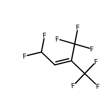 FC(F)C=C(C(F)(F)F)C(F)(F)F